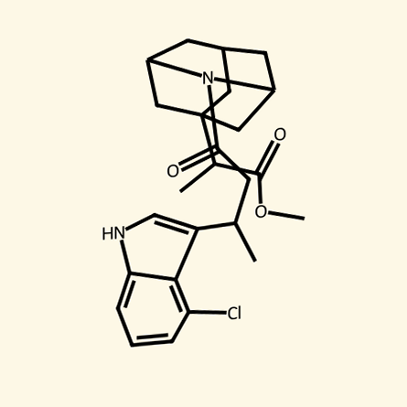 COC(=O)C(C)C12CC3CC(C1)N(C(=O)CC(C)c1c[nH]c4cccc(Cl)c14)C(C3)C2